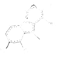 Cn1c2c(N)c(O)ccc2c2ccc(O)c(N)c21